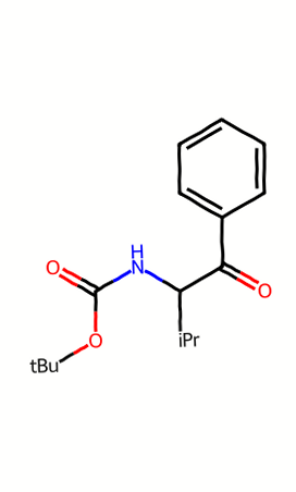 CC(C)C(NC(=O)OC(C)(C)C)C(=O)c1ccccc1